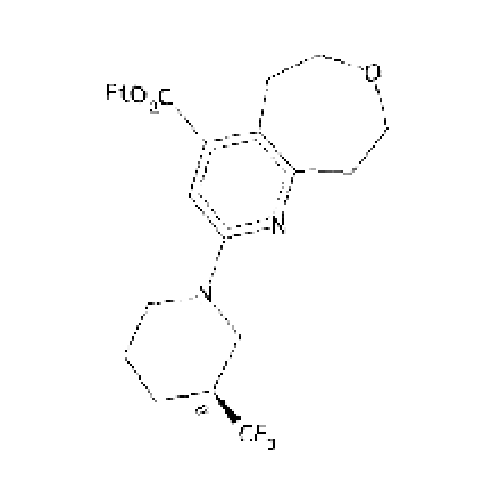 CCOC(=O)c1cc(N2CCC[C@H](C(F)(F)F)C2)nc2c1CCOCC2